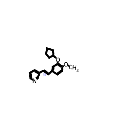 COc1ccc(/C=C/c2cccnc2)cc1OC1CCCC1